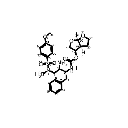 BN(C[C@@H](N)[C@H](Cc1ccccc1)NC(=O)OC1CO[C@H]2OCC[C@@H]12)S(=O)(=O)c1ccc(OC)cc1